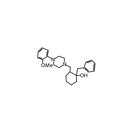 COc1ccccc1N1CCN(CC2CCCCC2(O)Cc2ccccc2)CC1